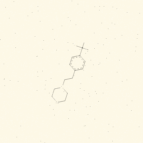 FC(F)(F)c1ccc(CCN2CC[N]CC2)cc1